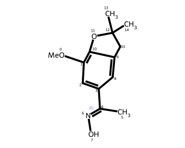 COc1cc(/C(C)=N/O)cc2c1OC(C)(C)C2